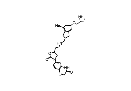 CC(N)COc1cc(C#N)c2c(c1)CC(CNCCC1CN(c3ccc4c(n3)NC(=O)CO4)C(=O)O1)C2